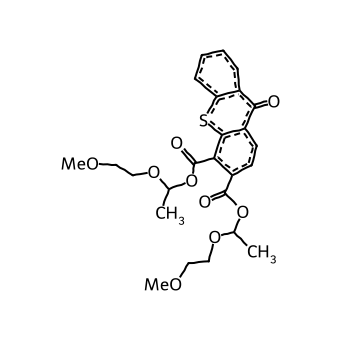 COCCOC(C)OC(=O)c1ccc2c(=O)c3ccccc3sc2c1C(=O)OC(C)OCCOC